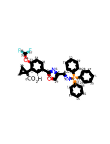 O=C(O)C1(c2cc(-c3nc(C=N[PH](c4ccccc4)(c4ccccc4)c4ccccc4)co3)ccc2OC(F)F)CC1